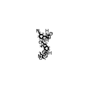 Cc1noc(C)c1S(=O)(=O)Nc1ccc2cc(C(=O)Nc3ccc(C#N)cc3-c3noc(=O)[nH]3)n(C)c2c1